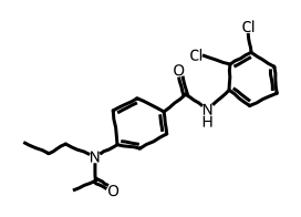 CCCN(C(C)=O)c1ccc(C(=O)Nc2cccc(Cl)c2Cl)cc1